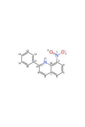 O=[N+]([O-])c1cccc2ccc(-c3ccccc3)nc12